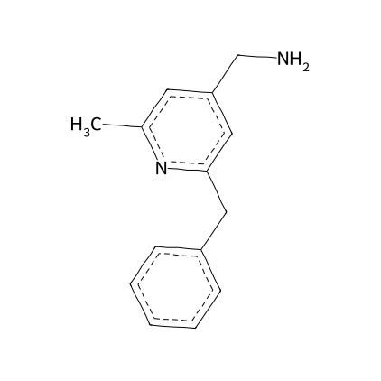 Cc1cc(CN)cc(Cc2ccccc2)n1